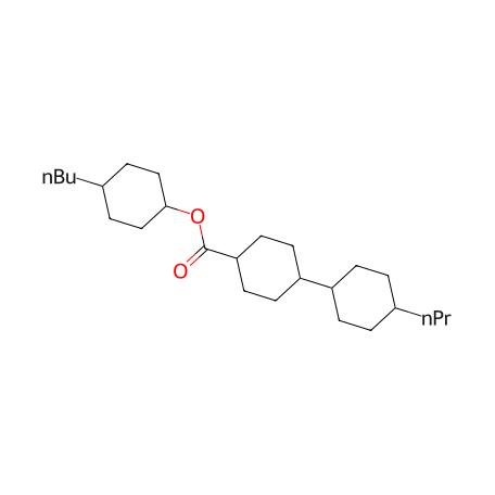 CCCCC1CCC(OC(=O)C2CCC(C3CCC(CCC)CC3)CC2)CC1